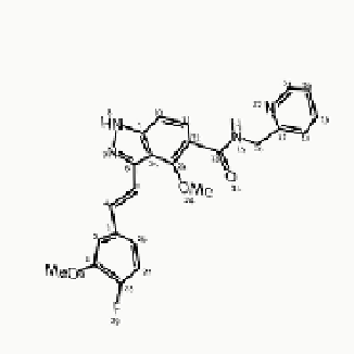 COc1cc(/C=C/c2n[nH]c3ccc(C(=O)NCc4ccccn4)c(OC)c23)ccc1F